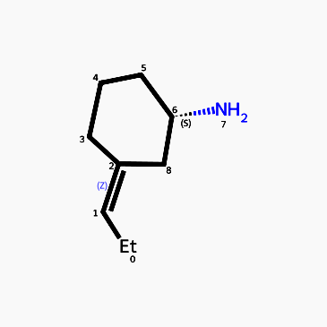 CC/C=C1/CCC[C@H](N)C1